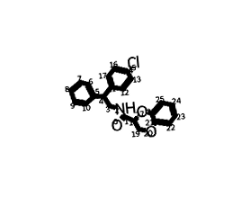 O=C(NCC(c1ccccc1)c1ccc(Cl)cc1)C1COc2ccccc2O1